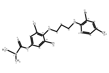 CN(C)C(=S)Oc1cc(Cl)c(OCCCOc2ncc(C(F)(F)F)cc2Br)c(Cl)c1